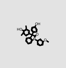 COc1cccc(N2C(=O)C(c3ccc(O)cc3)(c3cc(C)c(O)c(C)c3)c3ccccc32)c1